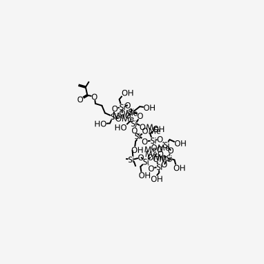 C=C(C)C(=O)OCCC[Si](CO)(OC)O[Si](CO)(OC)O[Si](CO)(OC)O[Si](CO)(OC)O[Si](CO)(OC)O[Si](CO)(OC)O[Si](CO)(OC)O[Si](CO)(OC)O[Si](CO)(OC)O[Si](CO)(OC)O[Si](C)(C)C